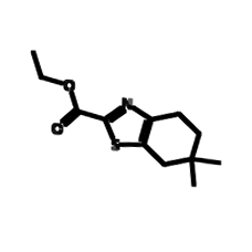 CCOC(=O)c1nc2c(s1)CC(C)(C)CC2